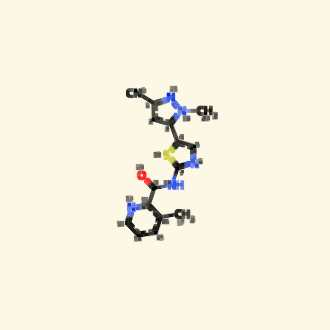 [C-]#[N+]c1cc(-c2cnc(NC(=O)c3ncccc3C)s2)n(C)n1